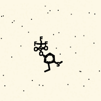 CCc1cc(OS(=O)(=O)C(F)(F)F)ccc1SC